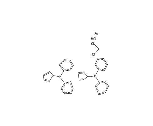 C1=CC(P(c2ccccc2)c2ccccc2)C=C1.C1=CC(P(c2ccccc2)c2ccccc2)C=C1.Cl.ClCCl.[Fe]